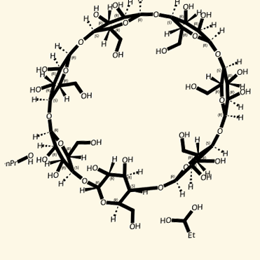 CC[CH]O.CC[C](O)O.OC[C@H]1O[C@@H]2O[C@H]3[C@H](O)[C@@H](O)[C@@H](O[C@H]4[C@H](O)[C@@H](O)[C@@H](O[C@H]5[C@H](O)[C@@H](O)[C@@H](O[C@H]6[C@H](O)[C@@H](O)[C@@H](O[C@H]7[C@H](O)[C@@H](O)[C@@H](O[C@H]8[C@H](O)[C@@H](O)[C@@H](O[C@H]1[C@H](O)[C@H]2O)O[C@@H]8CO)O[C@@H]7CO)O[C@@H]6CO)O[C@@H]5CO)O[C@@H]4CO)O[C@@H]3CO